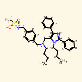 CCCCN(Cc1ccc(CNS(C)(=O)=O)cc1)Cc1c(-c2ccccc2)nc(-c2ccccc2)n1CCCC